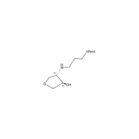 CCCCCCCCN[C@H]1COC[C@@H]1O